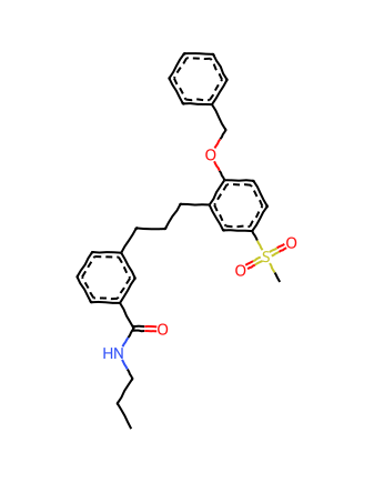 CCCNC(=O)c1cccc(CCCc2cc(S(C)(=O)=O)ccc2OCc2ccccc2)c1